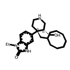 CCn1c(=O)[nH]c2cc([C@]3(CC4CCCCCCC4)CCNC[C@@H]3CO)ccc21